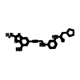 Nc1nc2c(O)cc(C#CCNc3cccc(NC(=O)CC4CCCC4)c3)cc2s1